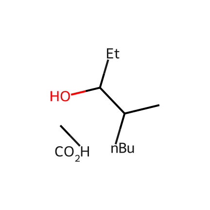 CC(=O)O.CCCCC(C)C(O)CC